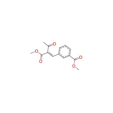 COC(=O)/C(=C/c1cccc(C(=O)OC)c1)C(C)=O